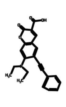 CCN(CC)c1cc2oc(=O)c(C(=O)O)cc2cc1C#Cc1ccccc1